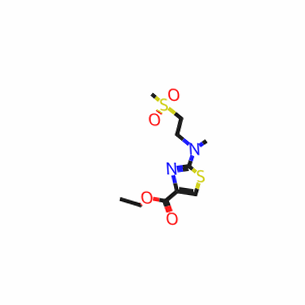 CCOC(=O)c1csc(N(C)CCS(C)(=O)=O)n1